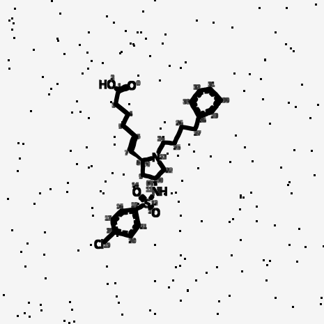 O=C(O)CCCC=C[C@@H]1C[C@@H](NS(=O)(=O)c2ccc(Cl)cc2)CN1CCCCc1ccccc1